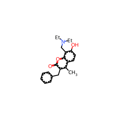 CCN(CC)Cc1c(O)ccc2c(C)c(Cc3ccccc3)c(=O)oc12